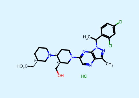 Cc1nn(C(C)c2ccc(Cl)cc2Cl)c2nc(N3CC[C@H](N4CCC[C@@H](CC(=O)O)C4)[C@H](CO)C3)cnc12.Cl